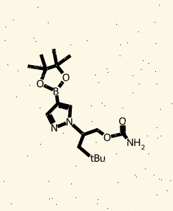 CC(C)(C)CC(COC(N)=O)n1cc(B2OC(C)(C)C(C)(C)O2)cn1